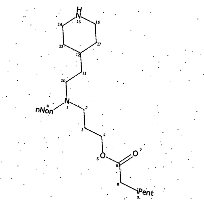 CCCCCCCCCN(CCCOC(=O)CC(C)CCC)CCC1CCNCC1